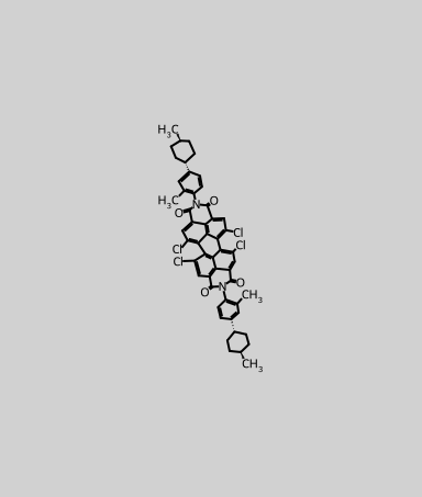 Cc1cc([C@H]2CC[C@H](C)CC2)ccc1N1C(=O)c2cc(Cl)c3c4c(Cl)cc5c6c(cc(Cl)c(c7c(Cl)cc(c2c37)C1=O)c64)C(=O)N(c1ccc([C@H]2CC[C@H](C)CC2)cc1C)C5=O